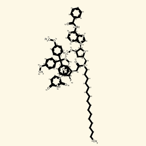 CCCCCCCCCCCCCCCCCN(C[C@H]1[CH][C@@H](OC)[C@@H](n2cnc3c(NC(=O)c4ccccc4)ncnc32)O1)C(=O)C[C@H]1[C@@H](F)[C@H](n2ccc(=O)[nH]c2=O)O[C@@H]1COC(c1ccccc1)(c1ccc(OC)cc1)c1ccc(OC)cc1